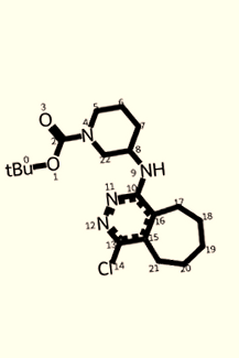 CC(C)(C)OC(=O)N1CCCC(Nc2nnc(Cl)c3c2CCCCC3)C1